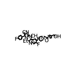 CCc1nn2cc(F)c(N3CCN(CC(=O)N4CC(CO)C4)CC3)cc2c1N(C)c1nc(-c2ccc(F)cc2)c(C#N)s1